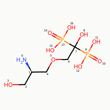 N[C@H](CO)COCC(O)(P(=O)(O)O)P(=O)(O)O